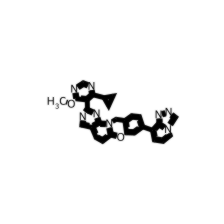 COc1ncnc(C2CC2)c1-c1ncc2ccc(=O)n(Cc3ccc(-c4cccn5cnnc45)cc3)c2n1